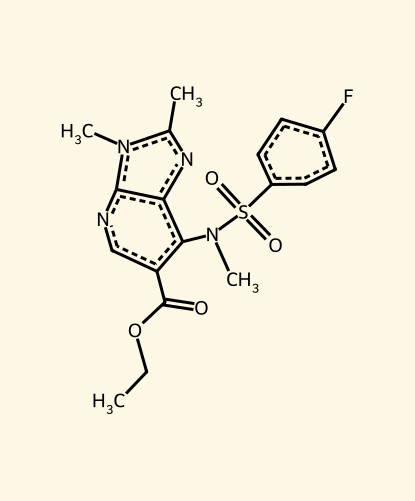 CCOC(=O)c1cnc2c(nc(C)n2C)c1N(C)S(=O)(=O)c1ccc(F)cc1